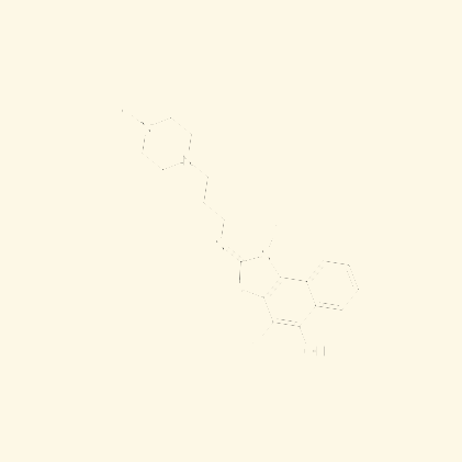 Cc1c(O)c2ccccc2c2c1s/c(=N/CCCN1CCN(C)CC1)n2C